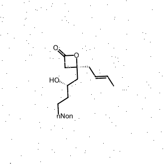 C/C=C/C[C@]1(C[C@@H](O)CCCCCCCCCCC)CC(=O)O1